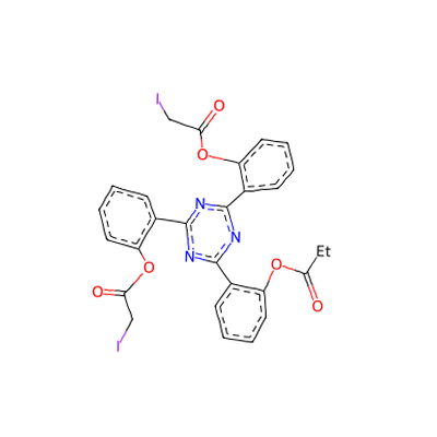 CCC(=O)Oc1ccccc1-c1nc(-c2ccccc2OC(=O)CI)nc(-c2ccccc2OC(=O)CI)n1